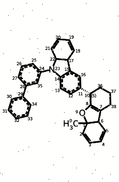 CC12C=CC=CC1C1=C(O2)[C@H](c2ccc3c(c2)C2C=CC=CC2N3c2cccc(-c3ccccc3)c2)CCC1